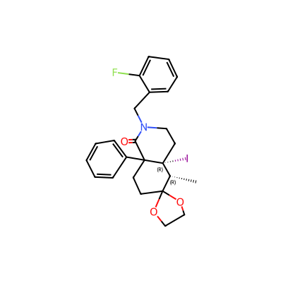 C[C@@H]1C2(CCC3(c4ccccc4)C(=O)N(Cc4ccccc4F)CC[C@@]13I)OCCO2